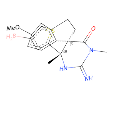 Bc1csc([C@@]2(C)NC(=N)N(C)C(=O)[C@@]23CCc2cc(OC)ccc23)c1